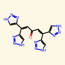 O=C(C=C(c1c[nH]nn1)c1c[nH]nn1)C=C(c1c[nH]nn1)c1c[nH]nn1